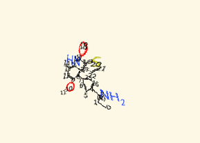 CC[C@@H](N)c1ccc(-c2c(OC)cc(C)c3[nH]c(=O)c4sccc4c23)cc1